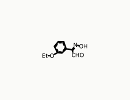 CCOc1cccc(C(C=O)=NO)c1